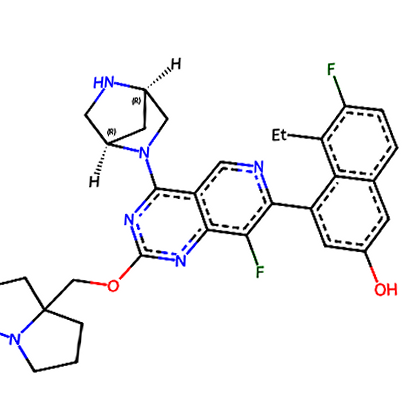 CCc1c(F)ccc2cc(O)cc(-c3ncc4c(N5C[C@H]6C[C@@H]5CN6)nc(OCC56CCCN5CCC6)nc4c3F)c12